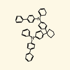 C1=CCCC(N(c2ccc(-c3ccccc3)cc2)c2ccc(C3(c4ccc(N(c5ccccc5)c5ccc(-c6ccccc6)cc5)cc4)CCCCC3)cc2)=C1